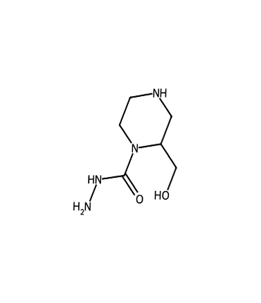 NNC(=O)N1CCNCC1CO